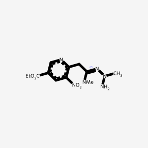 CCOC(=O)c1cnc(C/C(=N/N(C)N)NC)c([N+](=O)[O-])c1